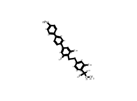 CCCc1ccc(-c2ccc(-c3cc(F)c(CCc4ccc(C(F)(F)OC(F)(F)F)c(F)c4)c(F)c3)cc2)cc1